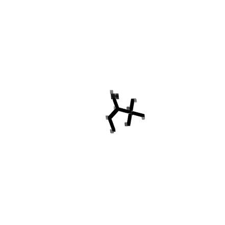 CCC(S)S(C)(C)C